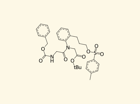 Cc1ccc(S(=O)(=O)OCCCc2ccccc2N(CC(=O)OC(C)(C)C)C(=O)CNC(=O)OCc2ccccc2)cc1